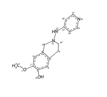 COc1cc2c(cc1O)CCN(Nc1ccncc1)C2